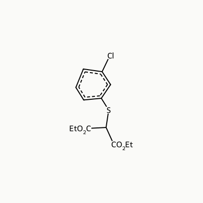 CCOC(=O)C(Sc1cccc(Cl)c1)C(=O)OCC